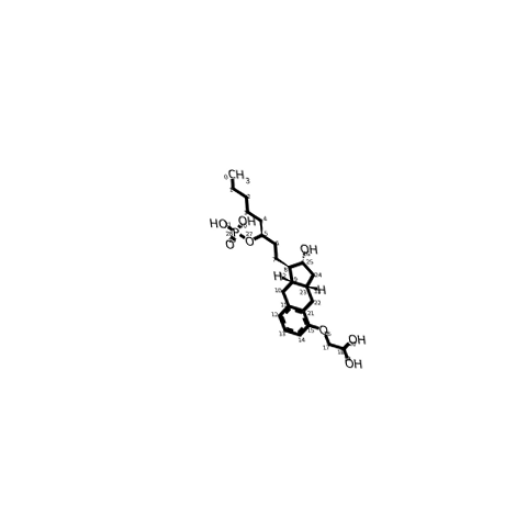 CCCCC[C@@H](CC[C@@H]1[C@H]2Cc3cccc(OCC(O)O)c3C[C@H]2C[C@H]1O)OP(=O)(O)O